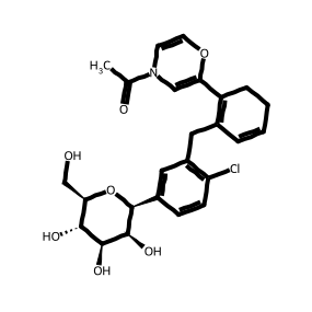 CC(=O)N1C=COC(C2=C(Cc3cc([C@@H]4O[C@H](CO)[C@@H](O)[C@H](O)[C@@H]4O)ccc3Cl)C=CCC2)=C1